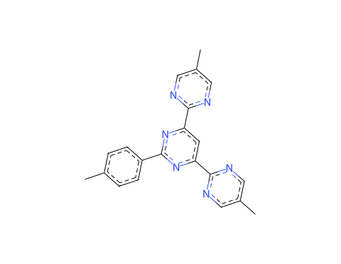 Cc1ccc(-c2nc(-c3ncc(C)cn3)cc(-c3ncc(C)cn3)n2)cc1